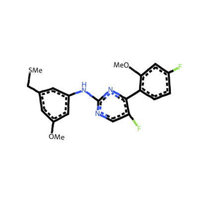 COc1cc(CSC)cc(Nc2ncc(F)c(-c3ccc(F)cc3OC)n2)c1